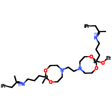 CCO[Si]1(CCC/N=C(\C)CC(C)C)OCCN(CCN2CCO[Si](C)(CCC/N=C(\C)CC(C)C)OCC2)CCO1